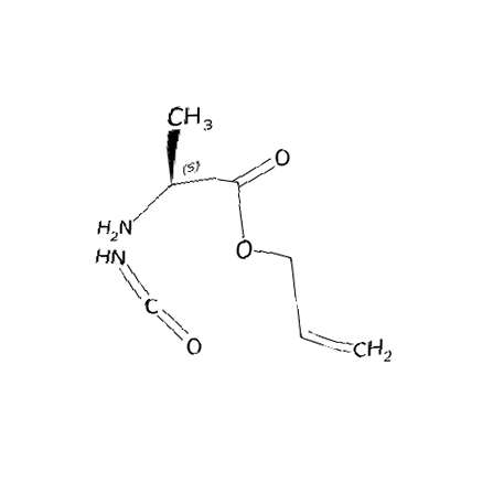 C=CCOC(=O)[C@H](C)N.N=C=O